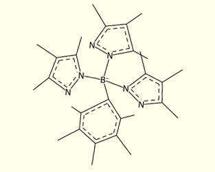 Cc1nn([B-](c2c(C)c(C)c(C)c(C)c2C)(n2nc(C)c(C)c2C)n2nc(C)c(C)c2C)c(C)c1C